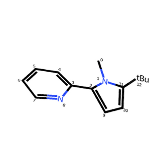 Cn1c(-c2ccccn2)ccc1C(C)(C)C